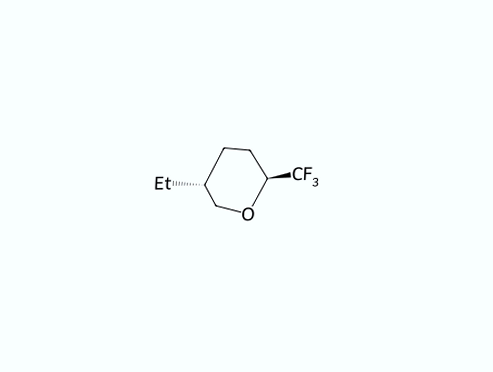 CC[C@@H]1CC[C@@H](C(F)(F)F)OC1